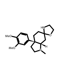 COc1ccc([C@]23CCN(C)[C@H]2CC2(CC3)NCCO2)cc1OC